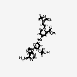 COC(=O)C1CC(SC[C@@H]2CC(OC(C)(C)O)[C@H](n3cnc4c(N)ncnc43)O2)CCN1CCN1C(=O)OC1(C)C